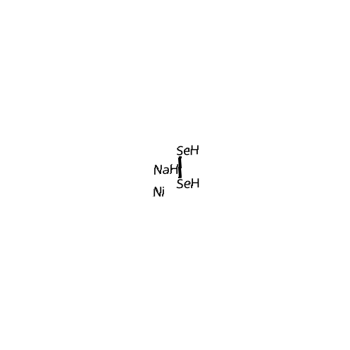 [NaH].[Ni].[SeH][SeH]